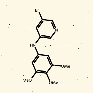 COc1cc(Nc2cncc(Br)c2)cc(OC)c1OC